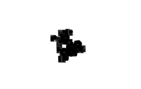 CCNc1nc(Cl)nc(NC(C)C)n1.CCOc1nc(F)cc2nc(S(=O)(=O)Nc3c(Cl)cccc3Cl)nn12